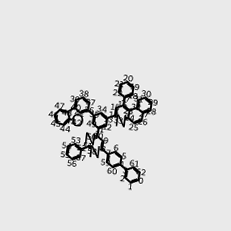 c1ccc(-c2ccc(-c3cc(-c4cc(-c5cc(-c6ccccc6)c6c(ccc7ccccc76)n5)cc(-c5cccc6c5oc5ccccc56)c4)nc(-c4ccccc4)n3)cc2)cc1